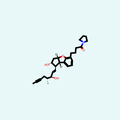 CC#CC[C@@H](C)[C@H](O)C=C[C@@H]1[C@H]2c3cccc(CCCC(=O)N4CCCC4)c3O[C@H]2C[C@H]1O